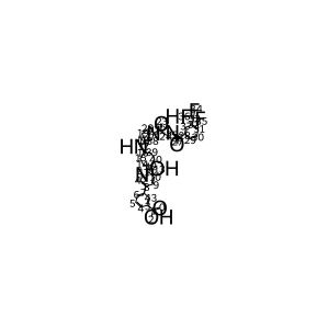 O=C(O)c1cccc(-c2ccc(C3(O)CCC(N[C@H]4CCN(C(=O)CNC(=O)c5cccc(C(F)(F)F)c5)C4)CC3)nc2)c1